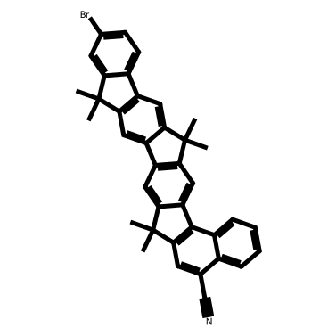 CC1(C)c2cc(Br)ccc2-c2cc3c(cc21)-c1cc2c(cc1C3(C)C)-c1c(cc(C#N)c3ccccc13)C2(C)C